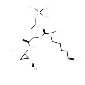 C=CCCCCN(C)C(=O)N[C@@H](CCO[Si](C)(C)C(C)(C)C)C(=O)N[C@]1(C(=O)OCC)C[C@H]1C=C